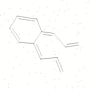 C=C/C=c1/cccc/c1=C/C=C